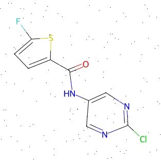 O=C(Nc1cnc(Cl)nc1)c1ccc(F)s1